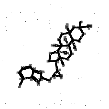 C[C@@]1(O)CC[C@H]2[C@H](CC[C@@H]3[C@@H]2CC[C@]2(C)[C@@H](C4O[C@@H]4Cn4nc5cccc(F)c5n4)CC[C@@H]32)C1